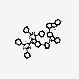 c1ccc(-c2nc(-c3ccccc3)nc(-n3c4ccc(-c5cccc(-n6c7ccccc7c7cc(-c8cccc9c8sc8ccccc89)ccc76)c5)cc4c4c(-c5ccccc5)nc(-c5ccccc5)nc43)n2)cc1